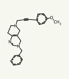 COc1ccc(C#CCN2CCC3=C(CN(Cc4ccccc4)C=N3)C2)cc1